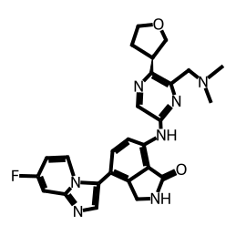 CN(C)Cc1nc(Nc2ccc(-c3cnc4cc(F)ccn34)c3c2C(=O)NC3)cnc1[C@H]1CCOC1